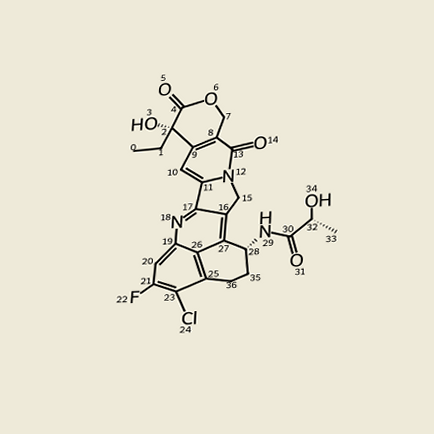 CC[C@@]1(O)C(=O)OCc2c1cc1n(c2=O)Cc2c-1nc1cc(F)c(Cl)c3c1c2[C@H](NC(=O)[C@@H](C)O)CC3